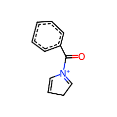 O=C(c1ccccc1)[N+]1=CCC=C1